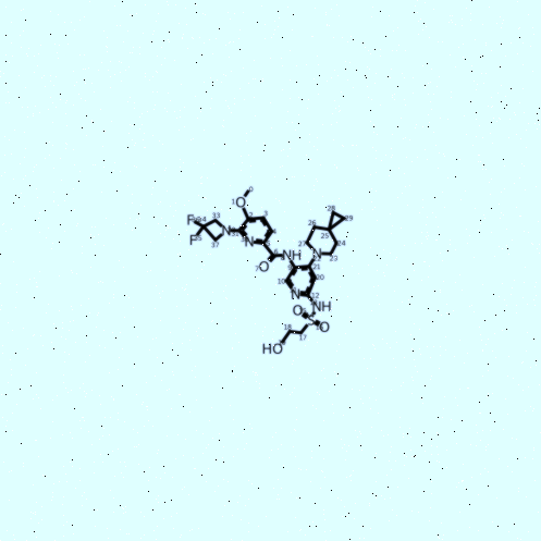 COc1ccc(C(=O)Nc2cnc(NS(=O)(=O)CCO)cc2N2CCC3(CC2)CC3)nc1N1CC(F)(F)C1